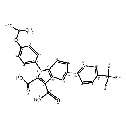 CC(C)Oc1ccc(-n2c(C(=O)O)c(C(=O)O)c3cc(-c4ccc(C(F)(F)F)cn4)ccc32)cc1